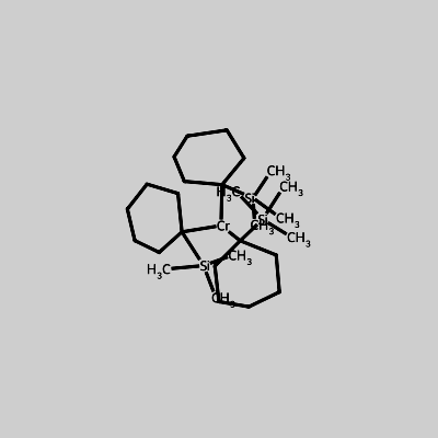 C[Si](C)(C)[C]1([Cr]([C]2([Si](C)(C)C)CCCCC2)[C]2([Si](C)(C)C)CCCCC2)CCCCC1